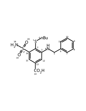 CCCCSc1c(NCc2ccccc2)cc(C(=O)O)cc1S(N)(=O)=O